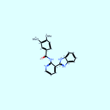 COc1ccc(C(=O)Nc2ncccc2-c2nc3ccccc3[nH]2)cc1OC